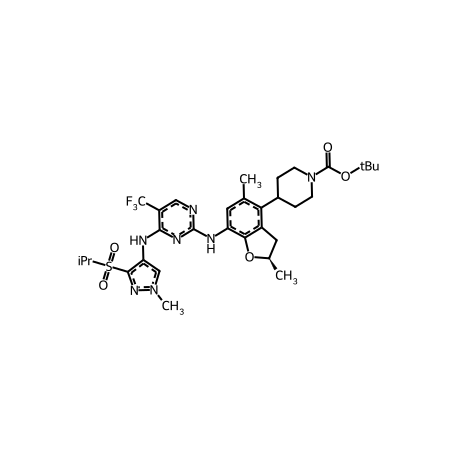 Cc1cc(Nc2ncc(C(F)(F)F)c(Nc3cn(C)nc3S(=O)(=O)C(C)C)n2)c2c(c1C1CCN(C(=O)OC(C)(C)C)CC1)C[C@@H](C)O2